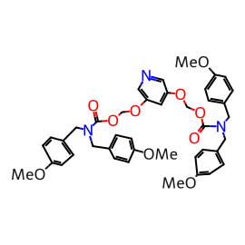 COc1ccc(CN(Cc2ccc(OC)cc2)C(=O)OCOc2cncc(OCOC(=O)N(Cc3ccc(OC)cc3)Cc3ccc(OC)cc3)c2)cc1